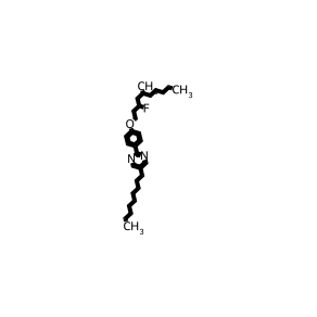 CCCCCCCCCc1cnc(-c2ccc(OCCC(F)CC(C)CCCCC)cc2)nc1